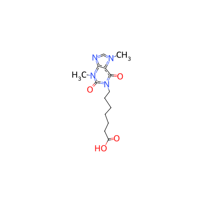 Cn1cnc2c1c(=O)n(CCCCCCC(=O)O)c(=O)n2C